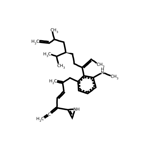 C=C=C(/C=C/C(=C)Cc1cccc(NC)c1/C(=C\C)CC[C@H](CC(C)C=C)C(C)C)C1=CN1